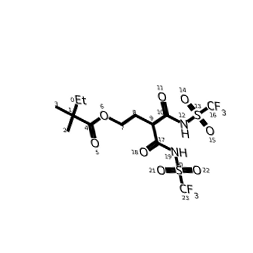 CCC(C)(C)C(=O)OCCC(C(=O)NS(=O)(=O)C(F)(F)F)C(=O)NS(=O)(=O)C(F)(F)F